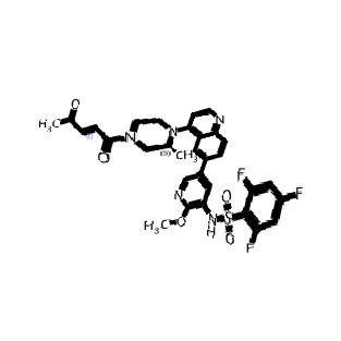 COc1ncc(-c2ccc3nccc(N4CCN(C(=O)/C=C/C(C)=O)C[C@@H]4C)c3c2)cc1NS(=O)(=O)c1c(F)cc(F)cc1F